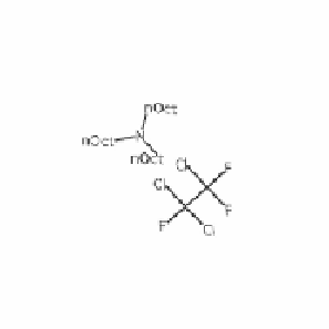 CCCCCCCCN(CCCCCCCC)CCCCCCCC.FC(F)(Cl)C(F)(Cl)Cl